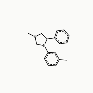 Cc1cccc(N2CN(C)CC2c2ccccc2)c1